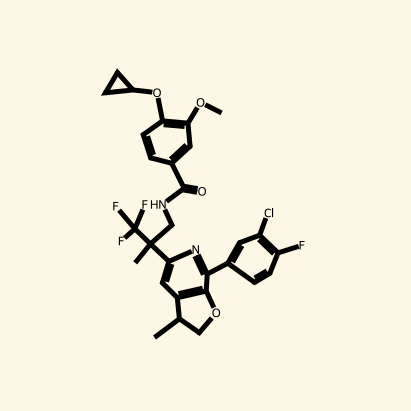 COc1cc(C(=O)NCC(C)(c2cc3c(c(-c4ccc(F)c(Cl)c4)n2)OCC3C)C(F)(F)F)ccc1OC1CC1